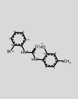 Cc1ccc(NC(=O)Nc2ccccc2Br)c(O)c1